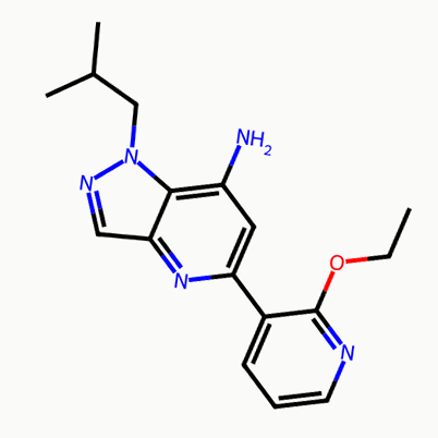 CCOc1ncccc1-c1cc(N)c2c(cnn2CC(C)C)n1